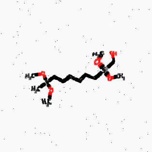 CO[Si](C)(CCCCCC[Si](CO)(OC)OC)OC